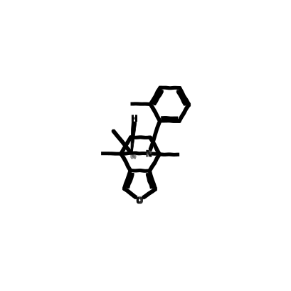 Cc1ccccc1N1[C@@H](C)C2(C)CCC1(C)c1cocc12